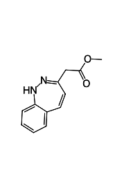 COC(=O)CC1=NNc2ccccc2C=C1